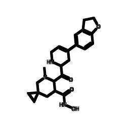 CN1CC2(CC2)CC(C(=O)NO)C1C(=O)C1CC(c2ccc3c(c2)CCO3)=CCN1